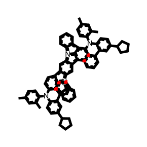 Cc1ccc(N(c2ccc(C3CCCC3)cc2-c2ccccc2)c2ccc3c4cc5c(cc4n4c6ccccc6c2c34)c2ccc(N(c3ccc(C)cc3C)c3ccc(C4CCCC4)cc3-c3ccccc3)c3c4ccccc4n5c23)c(C)c1